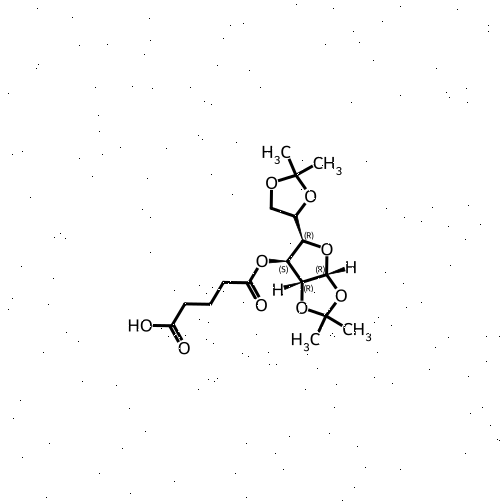 CC1(C)OCC([C@H]2O[C@@H]3OC(C)(C)O[C@@H]3[C@H]2OC(=O)CCCC(=O)O)O1